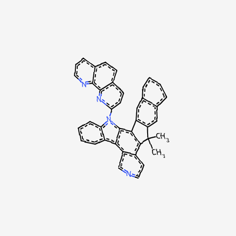 CC1(C)c2cc3ccccc3cc2-c2c1c1ccncc1c1c3ccccc3n(-c3ccc4ccc5cccnc5c4n3)c21